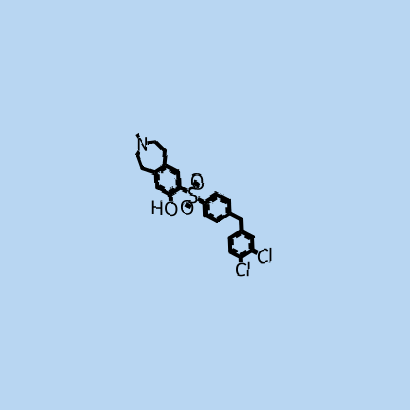 CN1CCc2cc(O)c(S(=O)(=O)c3ccc(Cc4ccc(Cl)c(Cl)c4)cc3)cc2CC1